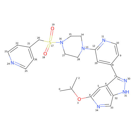 CC(C)Oc1cc2c(-c3ccnc(N4CCN(S(=O)(=O)Cc5ccncc5)CC4)c3)n[nH]c2cn1